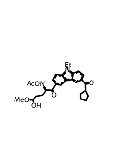 CCn1c2ccc(C(=O)C(CCC(O)OC)=NOC(C)=O)cc2c2cc(C(=O)C3CCCC3)ccc21